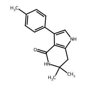 Cc1ccc(-c2c[nH]c3c2C(=O)NC(C)(C)C3)cc1